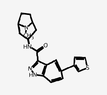 CN1C2CCC1CC(NC(=O)c1n[nH]c3ccc(-c4ccsc4)cc13)C2